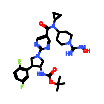 CC(C)(C)OC(=O)N[C@H]1CN(c2ncc(C(=O)N(C3CC3)C3CCN(C(=N)NO)CC3)cn2)C[C@@H]1c1cc(F)ccc1F